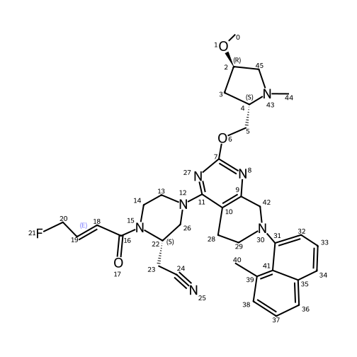 CO[C@@H]1C[C@@H](COc2nc3c(c(N4CCN(C(=O)/C=C/CF)[C@@H](CC#N)C4)n2)CCN(c2cccc4cccc(C)c24)C3)N(C)C1